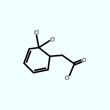 O=C(Cl)CC1C=CC=CC1(Cl)Cl